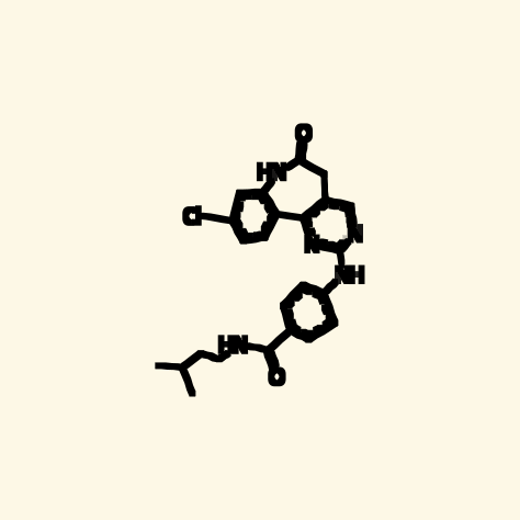 CC(C)CCNC(=O)c1ccc(Nc2ncc3c(n2)-c2ccc(Cl)cc2NC(=O)C3)cc1